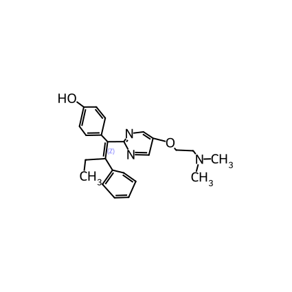 CC/C(=C(\c1ccc(O)cc1)c1ncc(OCCN(C)C)cn1)c1ccccc1